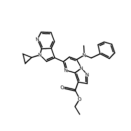 CCOC(=O)c1cnn2c(N(C)Cc3ccccc3)cc(-c3cn(C4CC4)c4ncccc34)nc12